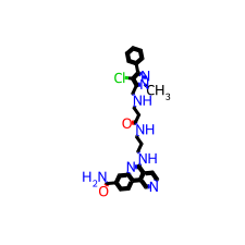 Cn1nc(-c2ccccc2)c(Cl)c1CNCCC(=O)NCCCNc1nc2cc(C(N)=O)ccc2c2cnccc12